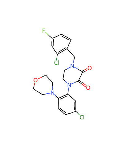 O=C1C(=O)N(c2cc(Cl)ccc2N2CCOCC2)CCN1Cc1ccc(F)cc1Cl